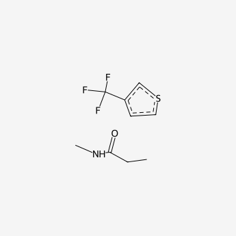 CCC(=O)NC.FC(F)(F)c1ccsc1